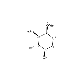 CO[C@H]1OC[C@@H](O)[C@H](O)[C@H]1OC